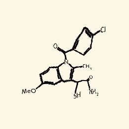 COc1ccc2c(c1)c(C(S)C(N)=O)c(C)n2C(=O)c1ccc(Cl)cc1